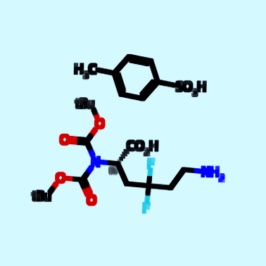 CC(C)(C)OC(=O)N(C(=O)OC(C)(C)C)[C@@H](CC(F)(F)CCN)C(=O)O.Cc1ccc(S(=O)(=O)O)cc1